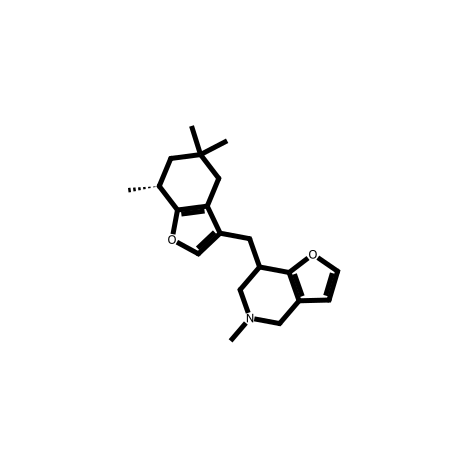 C[C@@H]1CC(C)(C)Cc2c(CC3CN(C)Cc4ccoc43)coc21